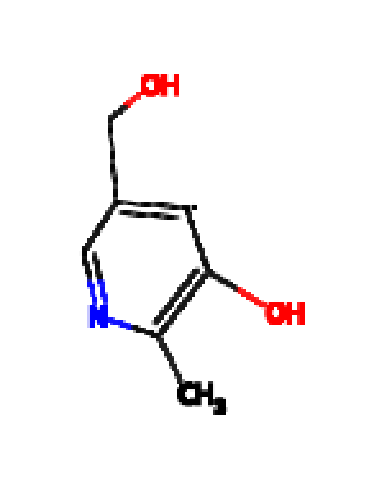 Cc1ncc(CO)[c]c1O